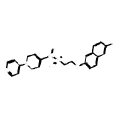 CN(C1CCN(c2ccncc2)CC1)S(=O)(=O)CCSc1ccc2cc(Cl)ccc2c1